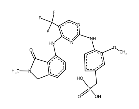 COc1cc(CP(=O)(O)O)ccc1Nc1ncc(C(F)(F)F)c(Nc2cccc3c2C(=O)N(C)C3)n1